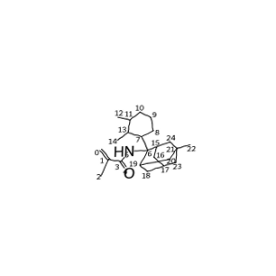 C=C(C)C(=O)NC1(C2CCCC(C)C2C)C2CC3CC1CC(C)(C3)C2